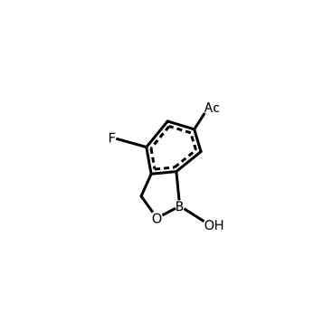 CC(=O)c1cc(F)c2c(c1)B(O)OC2